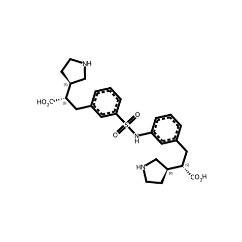 O=C(O)[C@@H](Cc1cccc(NS(=O)(=O)c2cccc(C[C@H](C(=O)O)[C@H]3CCNC3)c2)c1)[C@H]1CCNC1